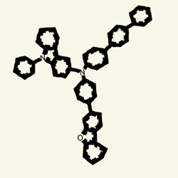 c1ccc(-c2ccc(-c3ccc(N(c4ccc(-c5ccc6c(c5)oc5ccccc56)cc4)c4ccc5c(c4)c4ccccc4n5-c4ccccc4)cc3)cc2)cc1